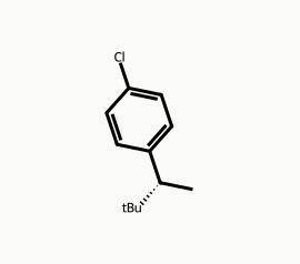 C[C@@H](c1ccc(Cl)cc1)C(C)(C)C